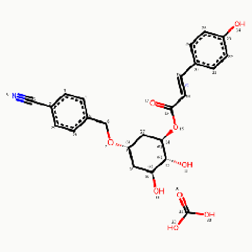 N#Cc1ccc(CO[C@H]2C[C@H](O)[C@@H](O)[C@H](OC(=O)/C=C/c3ccc(O)cc3)C2)cc1.O=C(O)O